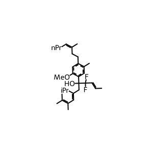 C/C=C/C(F)(F)C(O)(C/C(=C/C(C)=C(C)C)C(C)C)c1cc(C)c(CC/C(C)=C\CCC)cc1OC